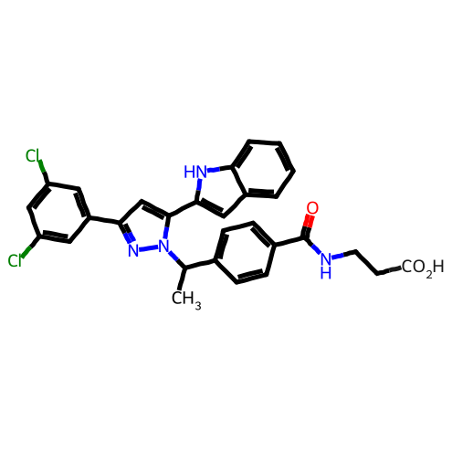 CC(c1ccc(C(=O)NCCC(=O)O)cc1)n1nc(-c2cc(Cl)cc(Cl)c2)cc1-c1cc2ccccc2[nH]1